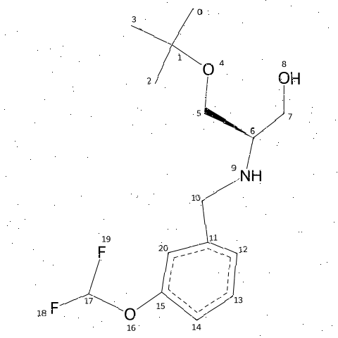 CC(C)(C)OC[C@@H](CO)NCc1cccc(OC(F)F)c1